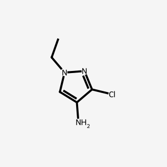 CCn1cc(N)c(Cl)n1